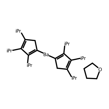 C1CCOC1.CC(C)C1=C(C(C)C)C(C(C)C)=[C]([Ba][C]2=C(C(C)C)C(C(C)C)=C(C(C)C)C2)C1